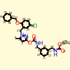 Cc1cc(OC(=O)NCc2cccc(CNC(=O)OC(C)(C)C)c2)nn1Cc1cc(Cl)ccc1OCc1ccccc1